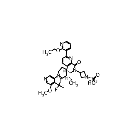 CCOc1ncccc1-c1ccc2c(n1)C(=O)N(C1CN(C)C1)C[C@]21CCN(c2cncc(OC)c2C(F)(F)F)C[C@H]1CC.O=CO